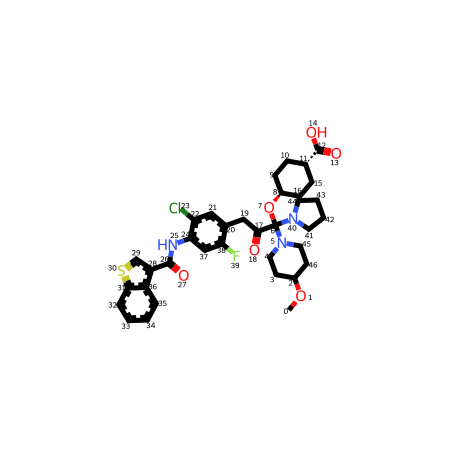 COC1CCN(C(O[C@H]2CC[C@H](C(=O)O)CC2)(C(=O)Cc2cc(Cl)c(NC(=O)c3csc4ccccc34)cc2F)N2CCCC2)CC1